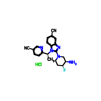 C[C@H](c1ccc(C#N)cn1)n1c(N2CC[C@@H](F)[C@H](N)C2)nc2cc(C#N)ccc21.Cl